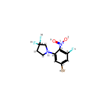 O=[N+]([O-])c1c(F)cc(Br)cc1N1CCC(F)(F)C1